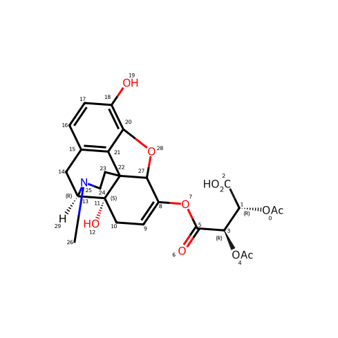 CC(=O)O[C@@H](C(=O)O)[C@@H](OC(C)=O)C(=O)OC1=CC[C@@]2(O)[C@H]3Cc4ccc(O)c5c4C2(CCN3C)C1O5